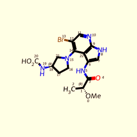 CO[C@H](C)C(=O)Nc1c[nH]c2ncc(Br)c(N3CC[C@@H](NC(=O)O)C3)c12